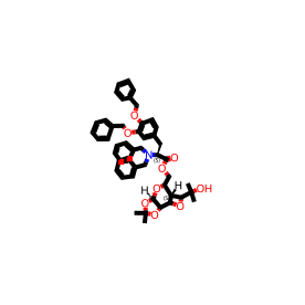 CC1(C)OC2C3OC(C(C)(C)O)[C@H]3C(COC(=O)[C@H](Cc3ccc(OCc4ccccc4)c(OCc4ccccc4)c3)N(Cc3ccccc3)Cc3ccccc3)O[C@@H]2O1